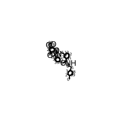 Cc1ccc(CCNC(=O)c2cccc(CN3C(=O)C4(COc5cc6c(cc54)OCO6)c4ccccc43)c2)cc1